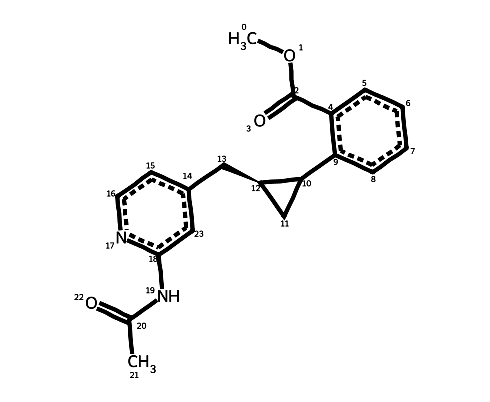 COC(=O)c1ccccc1C1C[C@H]1Cc1ccnc(NC(C)=O)c1